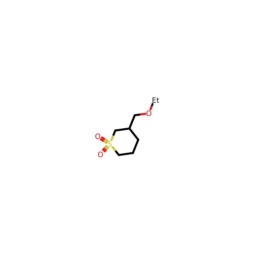 CCOCC1CCCS(=O)(=O)C1